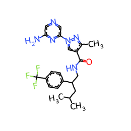 Cc1nn(-c2cncc(N)n2)cc1C(=O)NCC(CC(C)C)c1ccc(C(F)(F)F)cc1